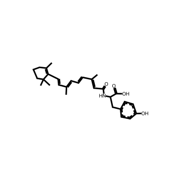 CC(C=CC1=C(C)CCCC1(C)C)=CC=CC(C)=CC(=O)NC(Cc1ccc(O)cc1)C(=O)O